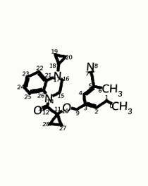 CC/C=C(\C=C(/C)C#N)COC1(C(=O)N2CCN(C3CC3)c3ccccc32)CC1